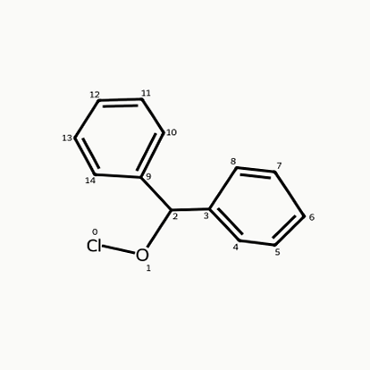 ClOC(c1ccccc1)c1ccccc1